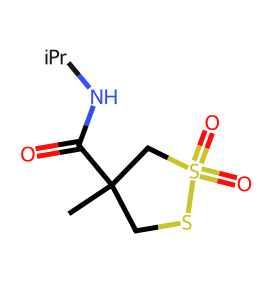 CC(C)NC(=O)C1(C)CSS(=O)(=O)C1